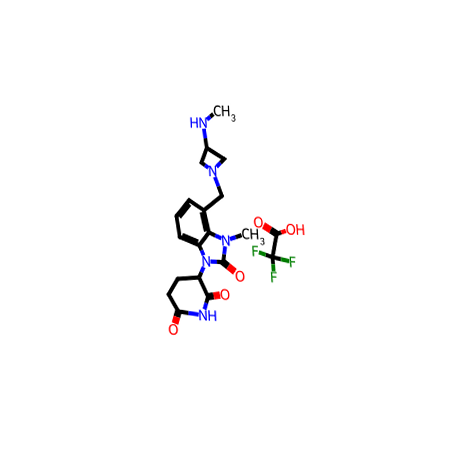 CNC1CN(Cc2cccc3c2n(C)c(=O)n3C2CCC(=O)NC2=O)C1.O=C(O)C(F)(F)F